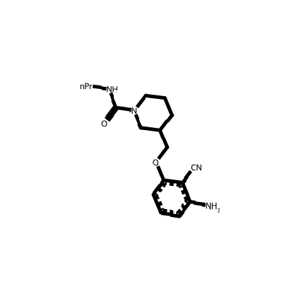 CCCNC(=O)N1CCCC(COc2cccc(N)c2C#N)C1